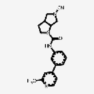 Cc1cc(-c2cccc(NC(=O)N3CCC4CN(C#N)CC43)c2)ccn1